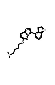 CN(C)CCCCOc1ccc2ncc(-c3cccc4[nH]ccc34)n2n1